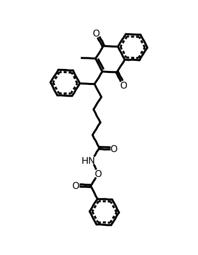 CC1=C(C(CCCCC(=O)NOC(=O)c2ccccc2)c2ccccc2)C(=O)c2ccccc2C1=O